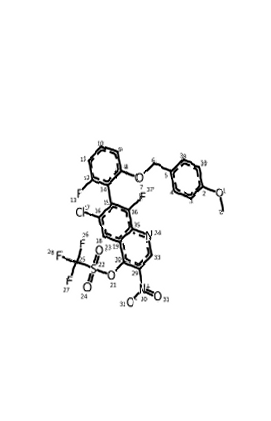 COc1ccc(COc2cccc(F)c2-c2c(Cl)cc3c(OS(=O)(=O)C(F)(F)F)c([N+](=O)[O-])cnc3c2F)cc1